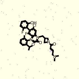 Cc1cccc(C(C)C)c1-n1c(=O)c(=O)n(CC2CN(C(=O)/C=C/CN(C)C)C2)c2cc(Cl)c(-c3c(O)cccc3F)c(F)c21